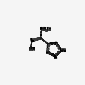 CCOC(=O)/C(=N/O)c1cn[nH]c1